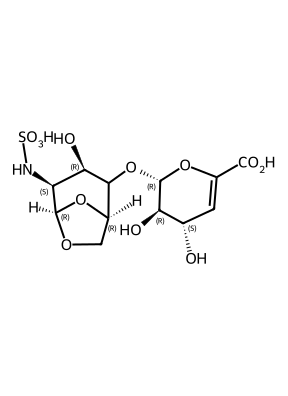 O=C(O)C1=C[C@H](O)[C@@H](O)[C@H](OC2[C@H]3CO[C@H](O3)[C@@H](NS(=O)(=O)O)[C@H]2O)O1